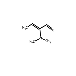 CC=C(C=O)N(C)C